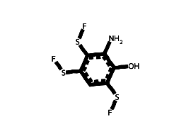 Nc1c(O)c(SF)cc(SF)c1SF